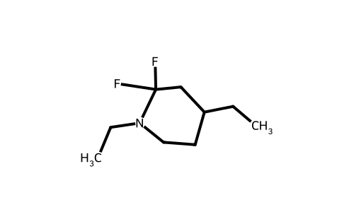 CCC1CCN(CC)C(F)(F)C1